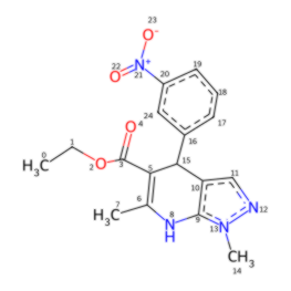 CCOC(=O)C1=C(C)Nc2c(cnn2C)C1c1cccc([N+](=O)[O-])c1